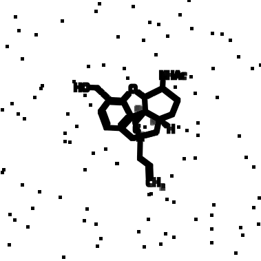 C=CCN1CC[C@@]23c4c5ccc(CO)c4OC2C(NC(C)=O)CC[C@@H]3C1C5